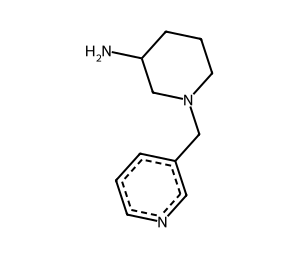 NC1CCCN(Cc2cccnc2)C1